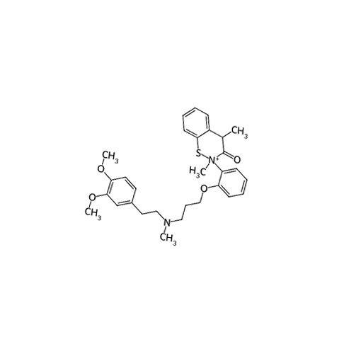 COc1ccc(CCN(C)CCCOc2ccccc2[N+]2(C)Sc3ccccc3C(C)C2=O)cc1OC